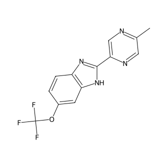 Cc1cnc(-c2nc3ccc(OC(F)(F)F)cc3[nH]2)cn1